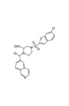 O=CC1CN(S(=O)(=O)c2cc3ccc(Cl)cc3s2)CCN1C(Cl)c1ccc2cnccc2c1